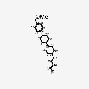 COCc1ccc([C@H]2CC[C@H]([C@H]3CC[C@H](CCC=CF)CC3)CC2)cc1